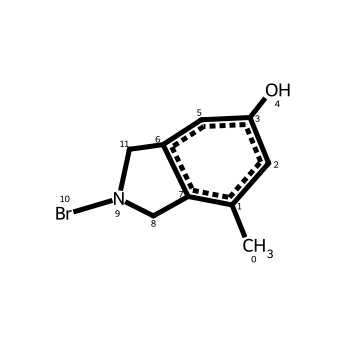 Cc1cc(O)cc2c1CN(Br)C2